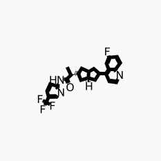 CC(C(=O)Nc1ccc(C(F)(F)F)cn1)[C@@H]1CC2CC(c3ccnc4ccc(F)cc34)C[C@@H]2C1